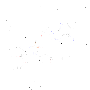 CC(C)OC(=O)C[C@H](N[P@](=O)(CO[C@H](C)Cn1cnc2c(N)ccnc21)NC(C)(C)C(=O)OC(C)C)C(C)C